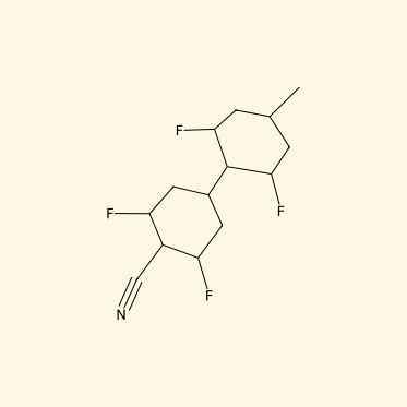 CC1CC(F)C(C2CC(F)C(C#N)C(F)C2)C(F)C1